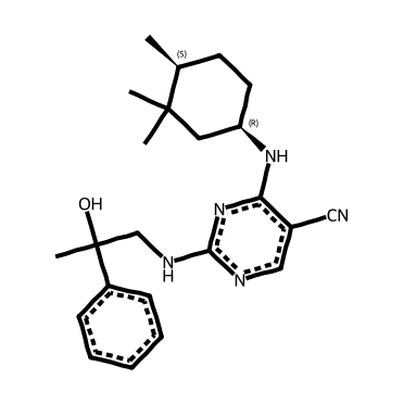 C[C@H]1CC[C@@H](Nc2nc(NCC(C)(O)c3ccccc3)ncc2C#N)CC1(C)C